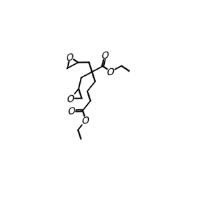 CCOC(=O)CCCC(CC1CO1)(CC1CO1)C(=O)OCC